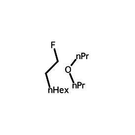 CCCCCCCCF.CCCOCCC